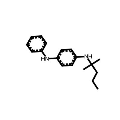 CCCC(C)(C)Nc1ccc(Nc2ccccc2)cc1